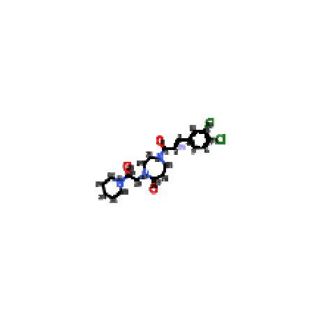 O=C(/C=C/c1ccc(Cl)c(Cl)c1)N1CCC(=O)N(CC(=O)N2CCCCC2)CC1